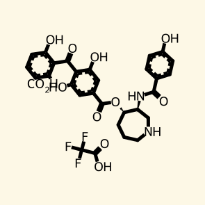 O=C(N[C@H]1CNCCC[C@@H]1OC(=O)c1cc(O)c(C(=O)c2c(O)cccc2C(=O)O)c(O)c1)c1ccc(O)cc1.O=C(O)C(F)(F)F